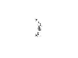 CCC(C)(C)OCCC(C(C)=O)C(=O)C(C)(CC)C(C)(CC)OCC(=O)C(C)(C)CC